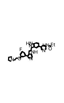 CCC(=O)Nc1cncc(-c2ccc3[nH]nc(-c4cc5c(-c6cc(F)cc(OCCN7CCCC7)c6)cncc5[nH]4)c3c2)c1